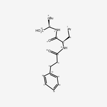 CCCC[C@@H](NC(=O)[C@@H](CC(C)C)NC(=O)CCc1ccccc1)C(=O)O